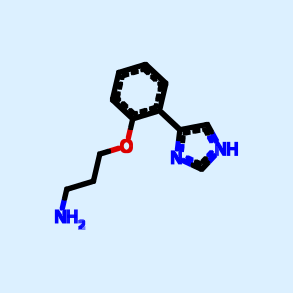 NCCCOc1ccccc1-c1c[nH]cn1